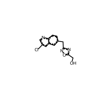 OCc1nc(Cc2ccc3ncc(Cl)cc3c2)no1